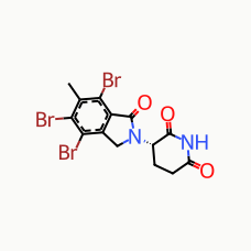 Cc1c(Br)c(Br)c2c(c1Br)C(=O)N([C@H]1CCC(=O)NC1=O)C2